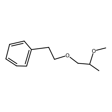 COC(C)COCCc1ccccc1